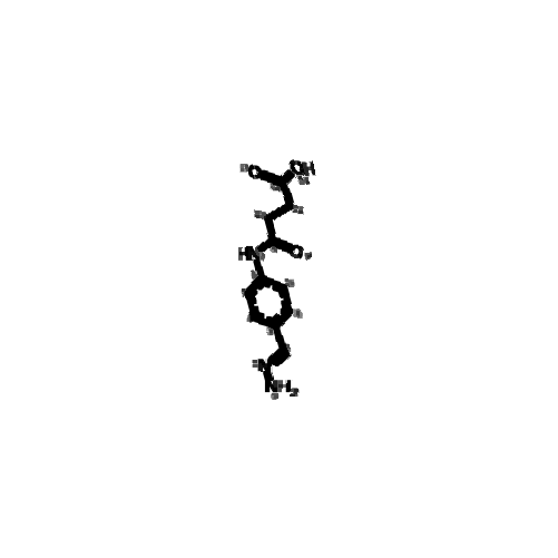 NN=Cc1ccc(NC(=O)CCC(=O)O)cc1